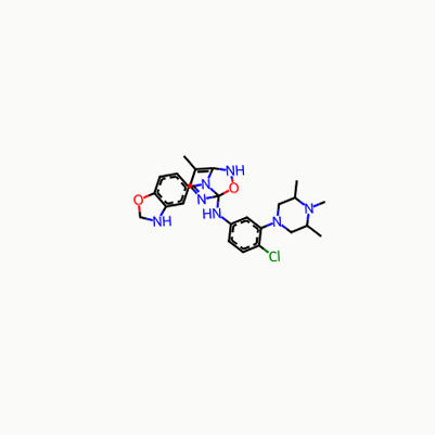 CC1=C2NOC(Nc3ccc(Cl)c(N4CC(C)N(C)C(C)C4)c3)(N=C1)N2c1ccc2c(c1)NCO2